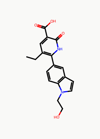 CCc1cc(C(=O)O)c(=O)[nH]c1-c1ccc2c(ccn2CCO)c1